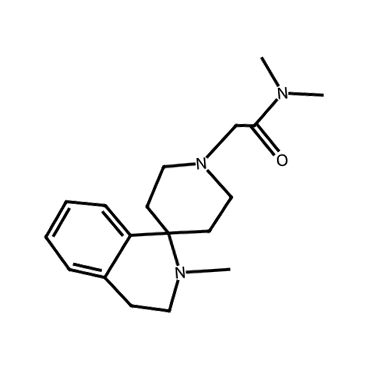 CN(C)C(=O)CN1CCC2(CC1)c1ccccc1CCN2C